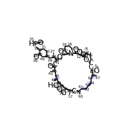 CO[C@H]1CC2CC[C@@H](C)[C@@](O)(O2)C(=O)C(=O)N2CCCCC2C(=O)O[C@H]([C@H](C)C[C@@H]2CCC(C[PH](C)=O)[C@H](OC)C2)CC(=O)[C@H](C)/C=C(\C)[C@@H](O)[C@@H](OC)C(=O)[C@H](C)C[C@H](C)/C=C/C=C/C=C/1C